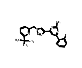 CC(C)(C)c1cccc(Cn2cc(-c3cc(-c4ccccc4F)nc(N)n3)nn2)n1